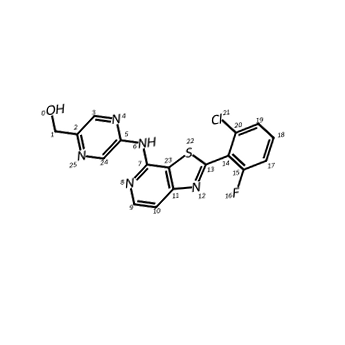 OCc1cnc(Nc2nccc3nc(-c4c(F)cccc4Cl)sc23)cn1